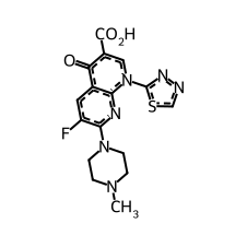 CN1CCN(c2nc3c(cc2F)c(=O)c(C(=O)O)cn3-c2nncs2)CC1